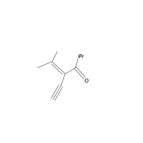 C#CC(C(=O)C(C)C)=C(C)C